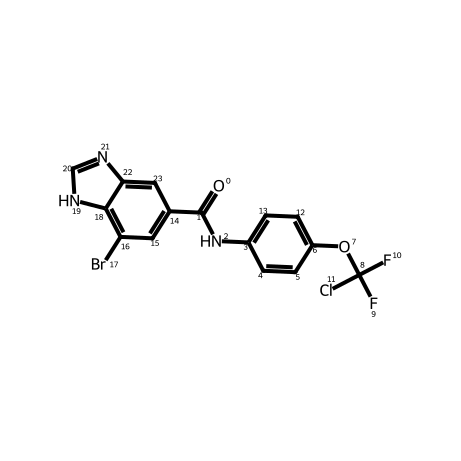 O=C(Nc1ccc(OC(F)(F)Cl)cc1)c1cc(Br)c2[nH]cnc2c1